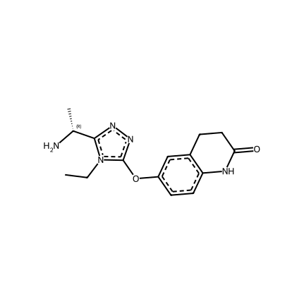 CCn1c(Oc2ccc3c(c2)CCC(=O)N3)nnc1[C@@H](C)N